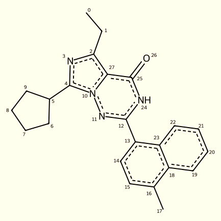 CCc1nc(C2CCCC2)n2nc(-c3ccc(C)c4ccccc34)[nH]c(=O)c12